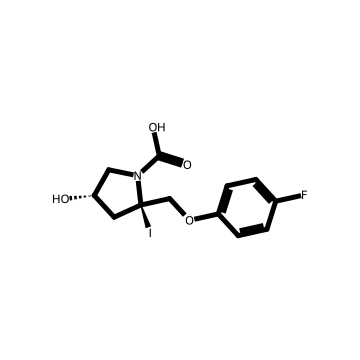 O=C(O)N1C[C@@H](O)C[C@@]1(I)COc1ccc(F)cc1